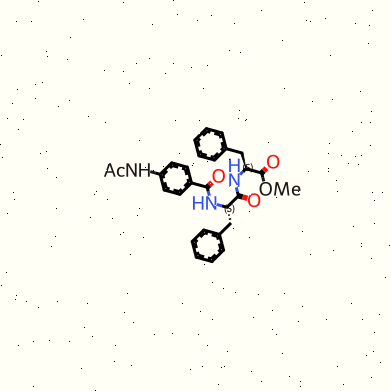 COC(=O)[C@H](Cc1ccccc1)NC(=O)[C@H](Cc1ccccc1)NC(=O)c1ccc(NC(C)=O)cc1